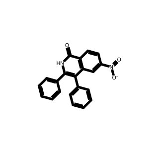 O=c1[nH]c(-c2ccccc2)c(-c2ccccc2)c2cc([N+](=O)[O-])ccc12